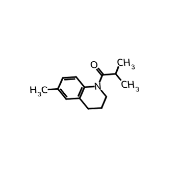 Cc1ccc2c(c1)CCCN2C(=O)C(C)C